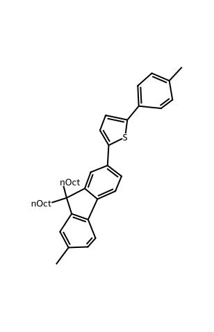 CCCCCCCCC1(CCCCCCCC)c2cc(C)ccc2-c2ccc(-c3ccc(-c4ccc(C)cc4)s3)cc21